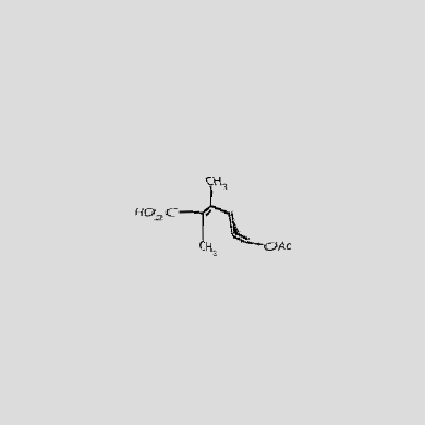 CC(=O)OC=CC(C)=C(C)C(=O)O